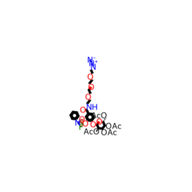 CC(=O)OC[C@H]1OC(Oc2ccc(C(=O)NCCOCCOCCOCCN=[N+]=[N-])cc2OS(=O)(F)=Nc2ccccc2)[C@H](OC(C)=O)[C@@H](OC(C)=O)[C@H]1OC(C)=O